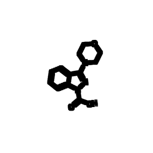 O=C(O)n1nc(N2CCOCC2)c2ccccc21